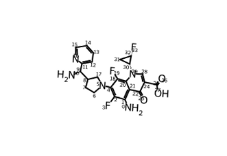 Nc1c(F)c(N2CCC([C@@H](N)c3ccccn3)C2)c(F)c2c1c(=O)c(C(=O)O)cn2[C@@H]1C[C@@H]1F